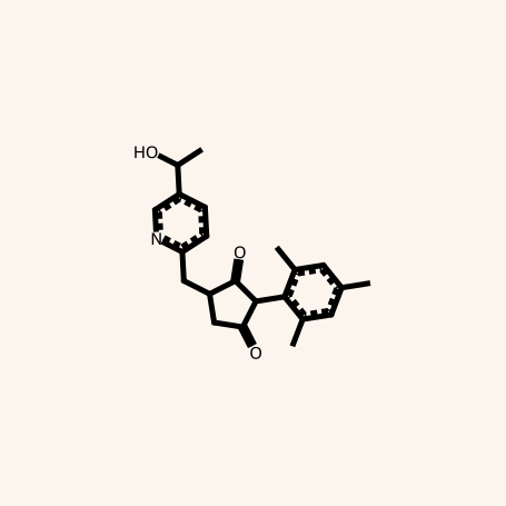 Cc1cc(C)c(C2C(=O)CC(Cc3ccc(C(C)O)cn3)C2=O)c(C)c1